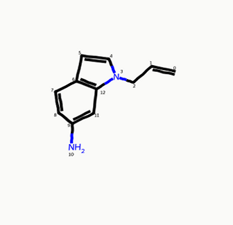 C=CCn1ccc2ccc(N)cc21